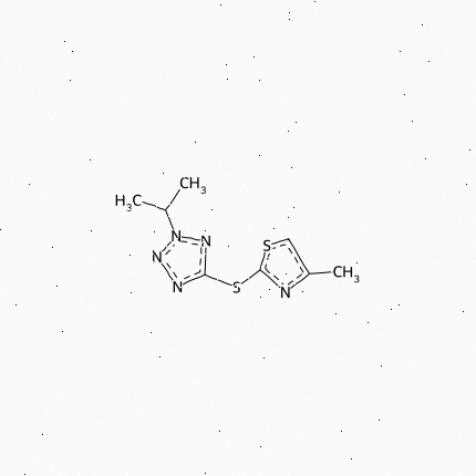 Cc1csc(Sc2nnn(C(C)C)n2)n1